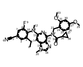 CCc1cc(C#N)cc(F)c1N(C)c1cc2c(ncn2C)c(N(Cc2ccc(OC)cc2OC)C(=O)C2CC2)n1